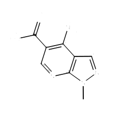 Cn1ncc2c(N)c(C(=O)C(C)(C)C)cnc21